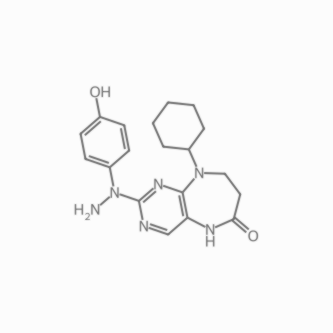 NN(c1ccc(O)cc1)c1ncc2c(n1)N(C1CCCCC1)CCC(=O)N2